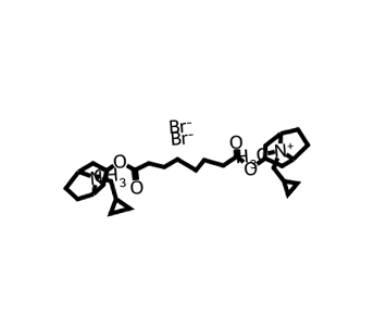 C[N+]1(CC2CC2)C2CCC1CC(OC(=O)CCCCCCC(=O)OC1CC3CCC(C1)[N+]3(C)CC1CC1)C2.[Br-].[Br-]